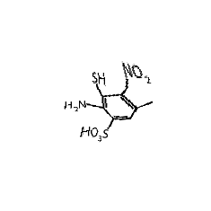 Cc1cc(S(=O)(=O)O)c(N)c(S)c1[N+](=O)[O-]